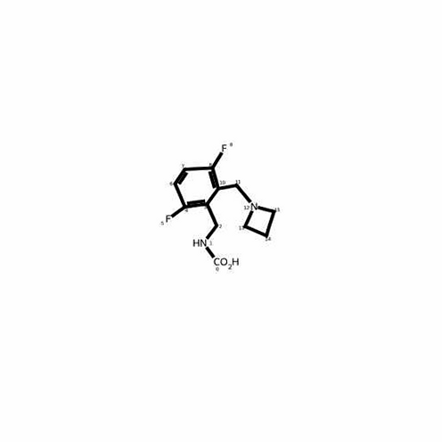 O=C(O)NCc1c(F)ccc(F)c1CN1CCC1